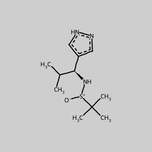 CC(C)[C@H](N[S+]([O-])C(C)(C)C)c1cn[nH]c1